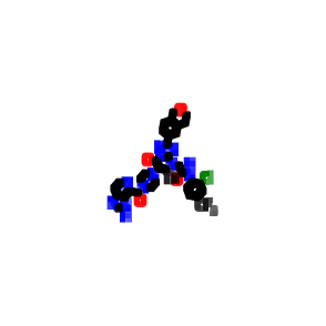 CCc1c(N2CCN(C(=O)c3nccc4nc[nH]c34)CC2)c(=O)n2nc(-c3ccc4c(c3)CCOC4)nc2n1CC(=O)Nc1ccc(C(F)(F)F)cc1Cl